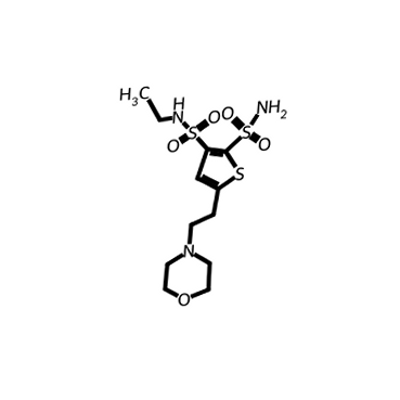 CCNS(=O)(=O)c1cc(CCN2CCOCC2)sc1S(N)(=O)=O